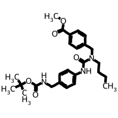 CCCCN(Cc1ccc(C(=O)OC)cc1)C(=O)Nc1ccc(CNC(=O)OC(C)(C)C)cc1